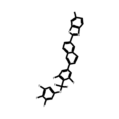 Cc1ccc2nc(-c3ccc4cc(-c5cc(F)c(C(F)(F)Oc6cc(F)c(F)c(F)c6)c(F)c5)ccc4c3)sc2c1